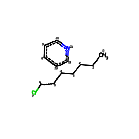 CCCCCCCCl.c1ccncc1